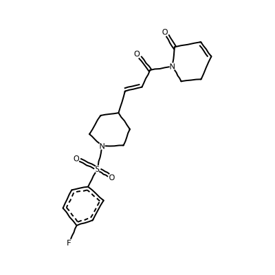 O=C1C=CCCN1C(=O)C=CC1CCN(S(=O)(=O)c2ccc(F)cc2)CC1